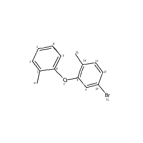 Cc1ccccc1Oc1cc(Br)ccc1C